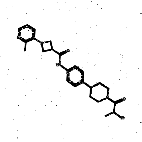 Cc1ncccc1N1CC(C(=O)Nc2ccc(C3CCN(C(=O)C(C)C(C)C)CC3)cc2)C1